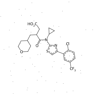 O=C(O)CC(CC1CCOCC1)C(=O)N(c1nc(-c2cc(C(F)(F)F)ccc2Cl)cs1)C1CC1